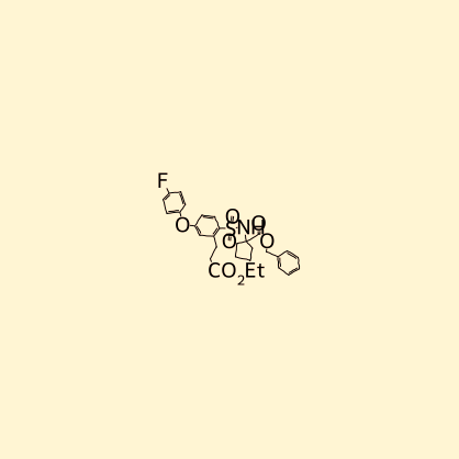 CCOC(=O)CCc1cc(Oc2ccc(F)cc2)ccc1S(=O)(=O)NC1(C(=O)OCc2ccccc2)CCCC1